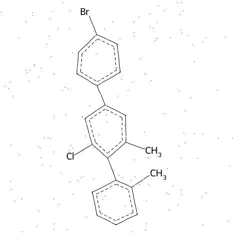 Cc1ccccc1-c1c(C)cc(-c2ccc(Br)cc2)cc1Cl